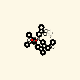 CC1(C)C2C=CC=CC2C2C=CC(N(c3ccc(-c4ccccc4)cc3)c3ccc4c(c3)C3(c5ccccc5-c5ccc(-c6ccc7c(c6)oc6ccccc67)cc53)c3ccc5oc6ccccc6c5c3-4)=CC21